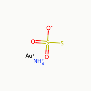 O=S(=O)([O-])[S-].[Au+].[NH4+]